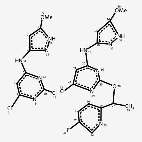 COc1cc(Nc2cc(Cl)nc(Cl)n2)n[nH]1.COc1cc(Nc2cc(Cl)nc(OC(C)c3ccc(F)cn3)n2)n[nH]1